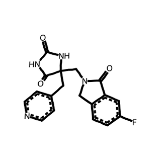 O=C1NC(=O)C(Cc2ccncc2)(CN2Cc3ccc(F)cc3C2=O)N1